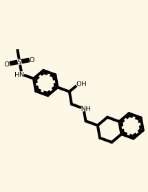 CS(=O)(=O)Nc1ccc(C(O)CNCC2CCc3ccccc3C2)cc1